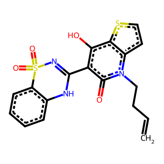 C=CCCn1c(=O)c(C2=NS(=O)(=O)c3ccccc3N2)c(O)c2sccc21